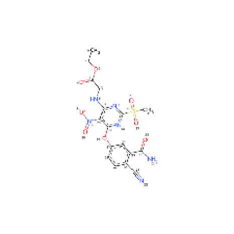 CCOC(=O)CNc1nc(S(C)(=O)=O)nc(Oc2ccc(C#N)c(C(N)=O)c2)c1[N+](=O)[O-]